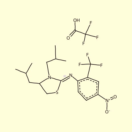 CC(C)CC1CS/C(=N\c2ccc([N+](=O)[O-])cc2C(F)(F)F)N1CC(C)C.O=C(O)C(F)(F)F